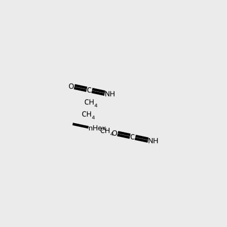 C.C.C.CCCCCCC.N=C=O.N=C=O